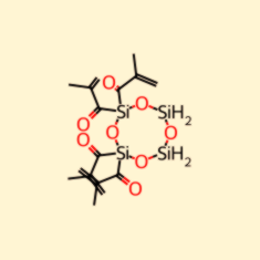 C=C(C)C(=O)[Si]1(C(=O)C(=C)C)O[SiH2]O[SiH2]O[Si](C(=O)C(=C)C)(C(=O)C(=C)C)O1